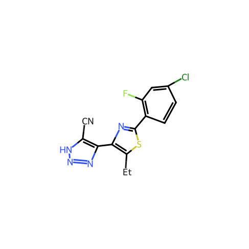 CCc1sc(-c2ccc(Cl)cc2F)nc1-c1nn[nH]c1C#N